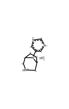 Cl.c1ncc(N2C3CCC2CNC3)cn1